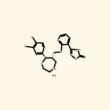 Cl.O=c1[nH]c(-c2cccnc2OC[C@@H]2CNCCO[C@H]2c2ccc(Cl)c(Cl)c2)no1